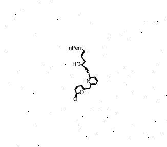 CCCCCC=CCC(O)C#Cc1cccc(Cc2cccc(=O)o2)n1